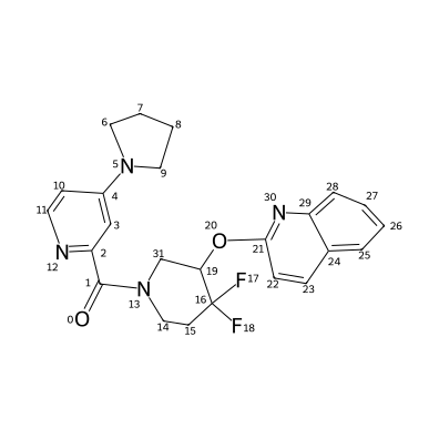 O=C(c1cc(N2CCCC2)ccn1)N1CCC(F)(F)C(Oc2ccc3ccccc3n2)C1